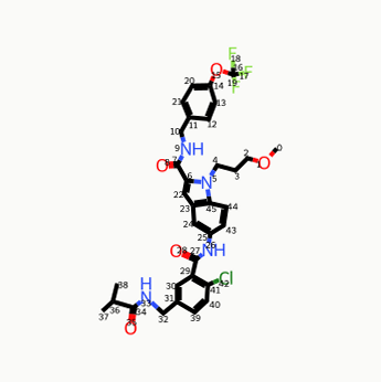 COCCCn1c(C(=O)NCc2ccc(OC(F)(F)F)cc2)cc2cc(NC(=O)c3cc(CNC(=O)C(C)C)ccc3Cl)ccc21